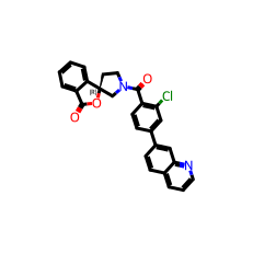 O=C1O[C@]2(CCN(C(=O)c3ccc(-c4ccc5cccnc5c4)cc3Cl)C2)c2ccccc21